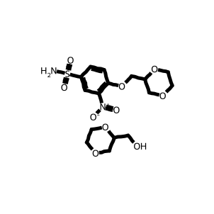 NS(=O)(=O)c1ccc(OCC2COCCO2)c([N+](=O)[O-])c1.OCC1COCCO1